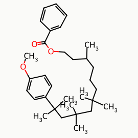 COc1ccc(C(C)(C)CC(C)(C)CC(C)(C)CCCC(C)CCOC(=O)c2ccccc2)cc1